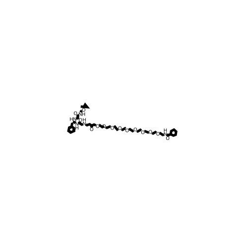 CC1(OCNC(=O)CN[C@H](Cc2ccccc2)NC(=O)CNCCC(=O)COCCOCCOCCOCCOCCOCCOCCOCCOCCNC(=O)C2CCCCC2)CC1